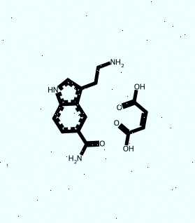 NCCc1c[nH]c2ccc(C(N)=O)cc12.O=C(O)/C=C\C(=O)O